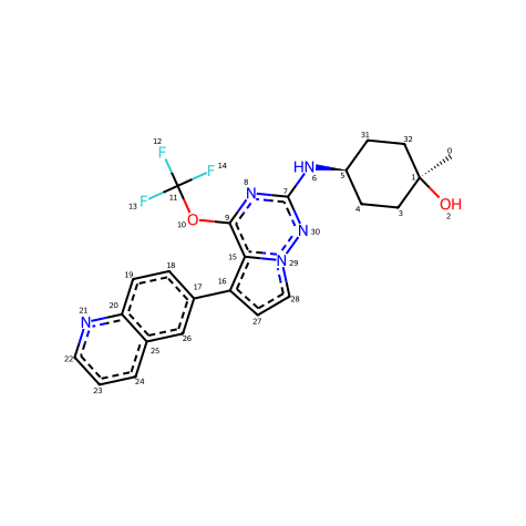 C[C@]1(O)CC[C@@H](Nc2nc(OC(F)(F)F)c3c(-c4ccc5ncccc5c4)ccn3n2)CC1